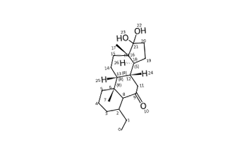 CCC1CCC[C@@]2(C)C1C(=O)C[C@@H]1[C@H]2CC[C@@]2(C)[C@H]1CCC2(O)O